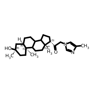 Cc1cn(CC(=O)[C@H]2CCC3C4CC[C@@H]5C[C@](C)(O)CC[C@]5(C)C4CC[C@@]32C)cn1